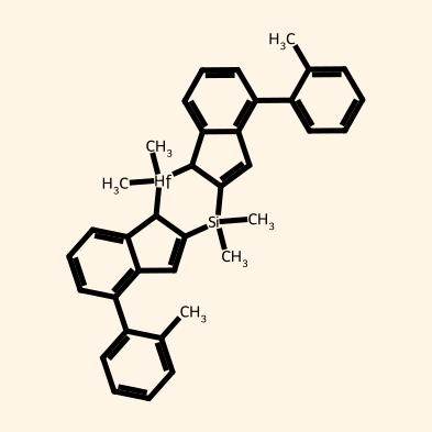 Cc1ccccc1-c1cccc2c1C=C1[CH]2[Hf]([CH3])([CH3])[CH]2C(=Cc3c(-c4ccccc4C)cccc32)[Si]1(C)C